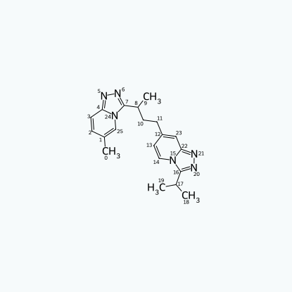 Cc1ccc2nnc(C(C)CCc3ccn4c(C(C)C)nnc4c3)n2c1